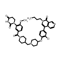 CCCCn1cc(-c2ccc(OC3CCN(CC4CCN(C(=O)c5ccc(OC)c(N6CCC(=O)NC6=O)c5)CC4)CC3)c(Cl)c2)c2ccncc2c1=O